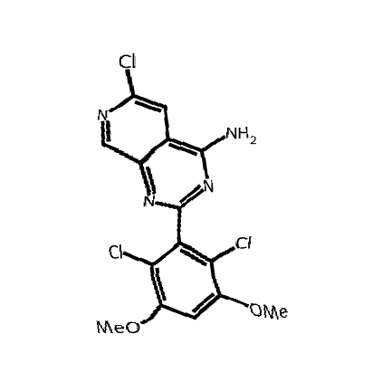 COc1cc(OC)c(Cl)c(-c2nc(N)c3cc(Cl)ncc3n2)c1Cl